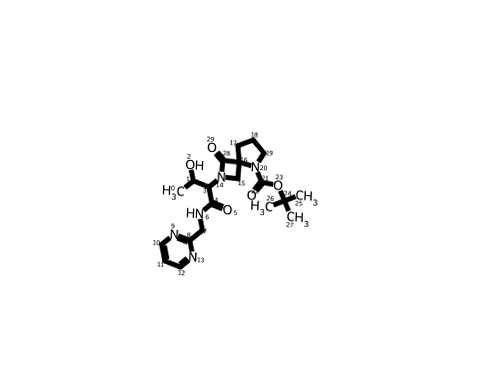 CC(O)C(C(=O)NCc1ncccn1)N1CC2(CCCN2C(=O)OC(C)(C)C)C1=O